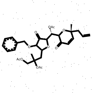 C=CC[C@]1(C)C=CC(=O)C([C@@H](OC(C)=O)C2OC(CC(C)(COC(C)=O)OC(C)=O)C(OCc3ccccc3)C2=O)O1